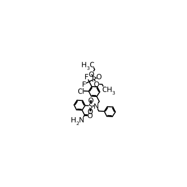 CCOP(=O)(OCC)C(F)(F)c1ccc(CN(Cc2ccccc2)S(=O)(=O)c2ccccc2C(N)=O)cc1Cl